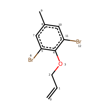 C=CCOc1c(Br)cc(C)cc1Br